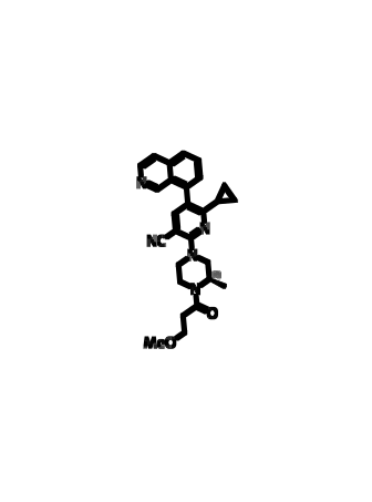 COCCC(=O)N1CCN(c2nc(C3CC3)c(-c3cccc4ccncc34)cc2C#N)C[C@H]1C